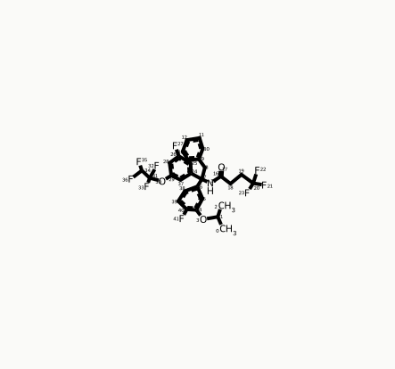 CC(C)Oc1cc(C(Cc2ccccc2)(NC(=O)CCC(F)(F)F)c2cc(F)cc(OC(F)(F)C(F)F)c2)ccc1F